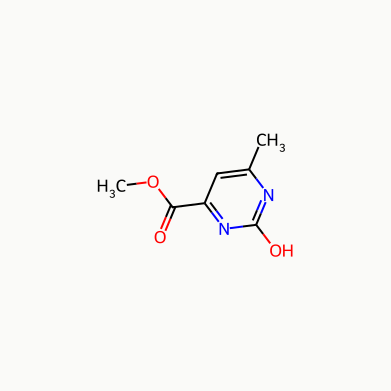 COC(=O)c1cc(C)nc(O)n1